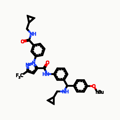 CCCCOc1ccc(C(NCC2CC2)c2cccc(NC(=O)c3cc(C(F)(F)F)nn3-c3cccc(C(=O)NCC4CC4)c3)c2)cc1